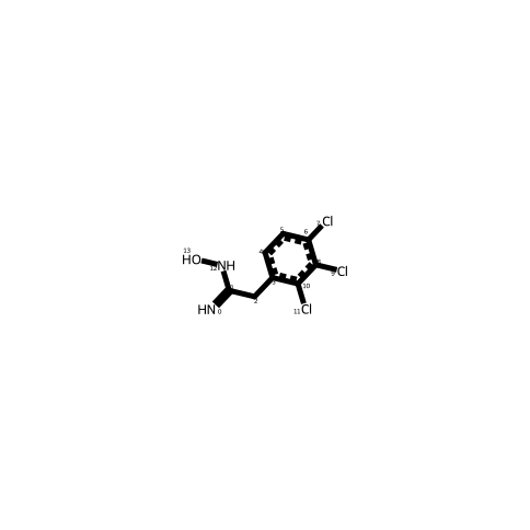 N=C(Cc1ccc(Cl)c(Cl)c1Cl)NO